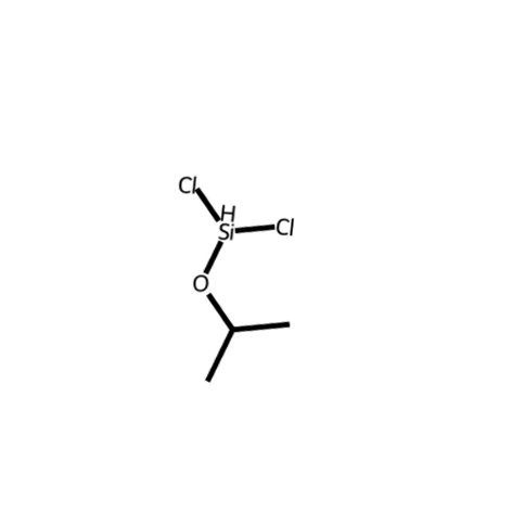 CC(C)O[SiH](Cl)Cl